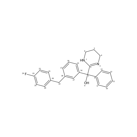 OC(C1=NCCCN1)(c1ccccc1)c1cccc(Cc2ccc(F)cc2)c1